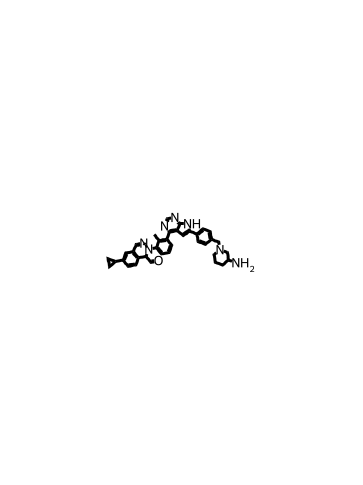 Cc1c(-c2ncnc3[nH]c(-c4ccc(CN5CCCC(N)C5)cc4)cc23)cccc1N1N=Cc2cc(C3CC3)ccc2C1C=O